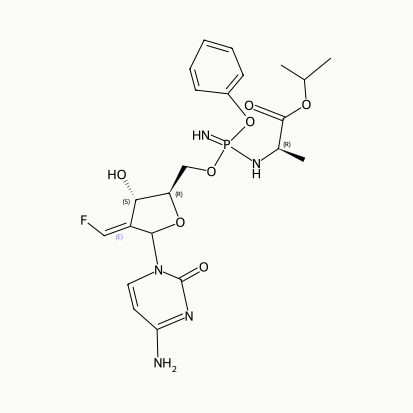 CC(C)OC(=O)[C@@H](C)NP(=N)(OC[C@H]1OC(n2ccc(N)nc2=O)/C(=C/F)[C@@H]1O)Oc1ccccc1